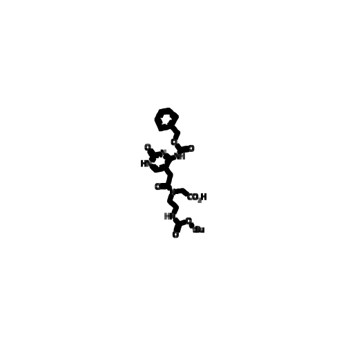 CC(C)(C)OC(=O)NCCN(CC(=O)O)C(=O)Cc1c[nH]c(=O)nc1NC(=O)OCc1ccccc1